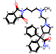 CN(CCCN1C(=O)c2ccccc2C1=O)CCN1CC[C@@H](C(C(N)=O)(c2ccccc2)c2ccccc2)C1